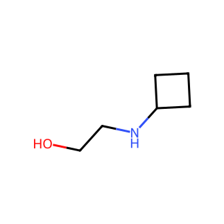 OCCNC1CCC1